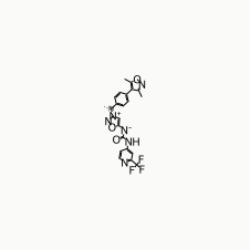 Cc1noc(C)c1-c1ccc([C@@H](C)[n+]2cc([N-]C(=O)Nc3ccnc(C(F)(F)F)c3)on2)cc1